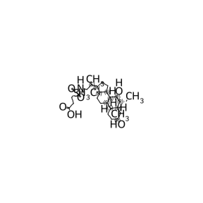 CC[C@H]1[C@@H](O)[C@@H]2[C@H](CC[C@]3(C)[C@@H]([C@H](C)CNS(=O)(=O)CCC(=O)O)CC[C@@H]23)[C@@]2(C)CC[C@@H](O)C[C@@H]12